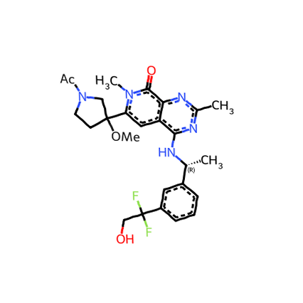 COC1(c2cc3c(N[C@H](C)c4cccc(C(F)(F)CO)c4)nc(C)nc3c(=O)n2C)CCN(C(C)=O)C1